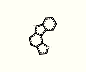 c1ccc2c(c1)[te]c1ccc3cc[nH]c3c12